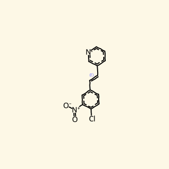 O=[N+]([O-])c1cc(/C=C/c2cccnc2)ccc1Cl